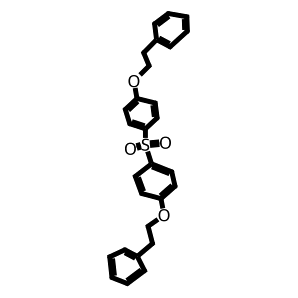 O=S(=O)(c1ccc(OCCc2ccccc2)cc1)c1ccc(OCCc2ccccc2)cc1